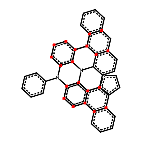 c1ccc(-c2cccc(N(c3c(-c4ccccc4)cccc3N(c3ccccc3)c3ccccc3)c3c(-c4ccccc4)cccc3N(c3ccccc3)c3ccccc3)c2-c2cccs2)cc1